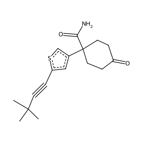 CC(C)(C)C#Cc1cc(C2(C(N)=O)CCC(=O)CC2)cs1